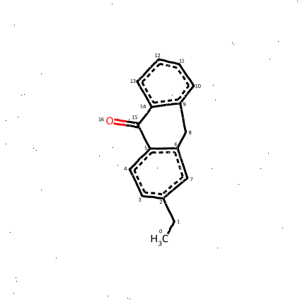 CCc1ccc2c(c1)Cc1ccccc1C2=O